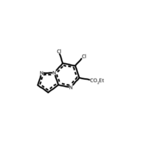 CCOC(=O)c1nc2ccnn2c(Cl)c1Cl